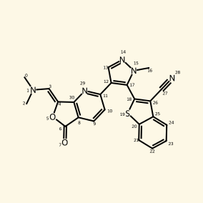 CN(C)/C=C1\OC(=O)c2ccc(-c3cnn(C)c3-c3sc4ccccc4c3C#N)nc21